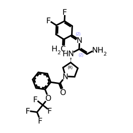 C=C1C=C(F)C(F)=C/C1=N/C(=C\N)N[C@@H]1CCN(C(=O)c2ccccc2OC(F)(F)C(F)F)C1